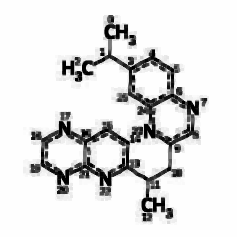 CC(C)c1ccc2ncc(CC(C)c3ccc4nccnc4n3)nc2c1